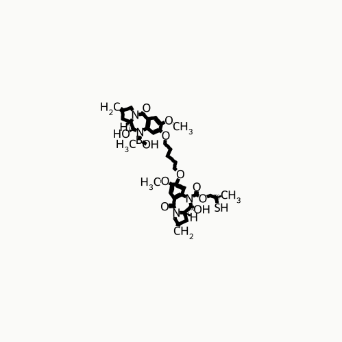 C=C1C[C@H]2[C@H](O)N(B(C)O)c3cc(OCCCCCOc4cc5c(cc4OC)C(=O)N4CC(=C)C[C@H]4[C@H](O)N5C(=O)OC[C@@H](C)S)c(OC)cc3C(=O)N2C1